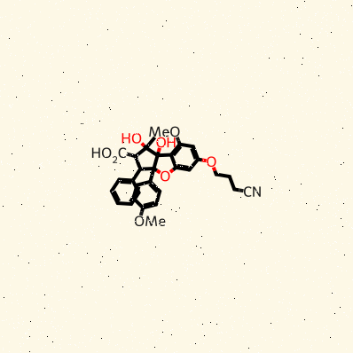 COc1ccc(C23Oc4cc(OCCCC#N)cc(OC)c4C2(O)C(C)(O)C(C(=O)O)C3c2ccccc2)cc1